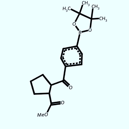 COC(=O)C1CCCC1C(=O)c1ccc(B2OC(C)(C)C(C)(C)O2)cc1